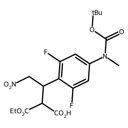 CCOC(=O)C(C(=O)O)C(C[N+](=O)[O-])c1c(F)cc(N(C)C(=O)OC(C)(C)C)cc1F